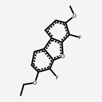 CCOc1ccc2c(oc3c(F)c(OC)ccc32)c1F